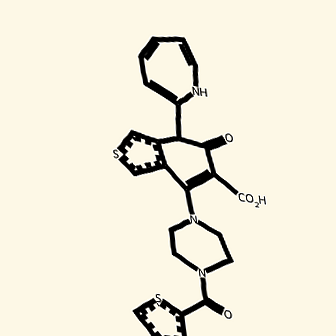 O=C(O)C1=C(N2CCN(C(=O)c3cccs3)CC2)c2cscc2C(C2=CC=CC=CN2)C1=O